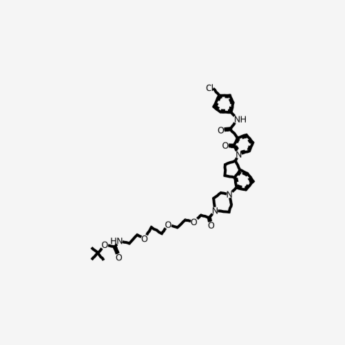 CC(C)(C)OC(=O)NCCOCCOCCOCC(=O)N1CCN(c2cccc3c2CCC3n2cccc(C(=O)Nc3ccc(Cl)cc3)c2=O)CC1